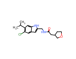 CC(C)c1cc2[nH]c(CNC(=O)CC3CCOC3)cc2cc1Cl